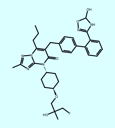 CCCc1c(Cc2ccc(-c3ccccc3C3=NOC(O)N3)cc2)c(=O)n([C@H]2CC[C@H](OCC(C)(O)CF)CC2)c2nc(C)nn12